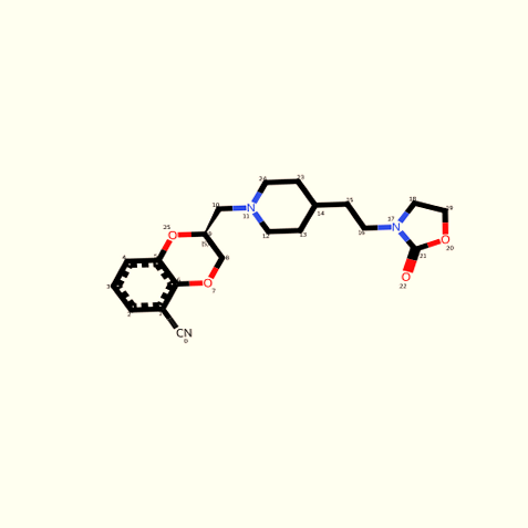 N#Cc1cccc2c1OC[C@H](CN1CCC(CCN3CCOC3=O)CC1)O2